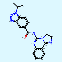 CC(C)n1nnc2cc(C(=O)NC3=Nc4ccccc4C4=NCCN34)ccc21